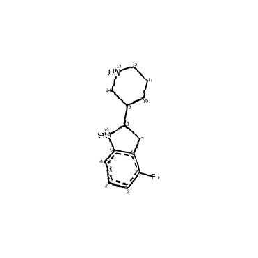 Fc1cccc2c1CC(C1CCCNC1)N2